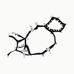 CC1[C@H](C)OC2COCc3ccccc3CO[C@@H]1[C@H]2O